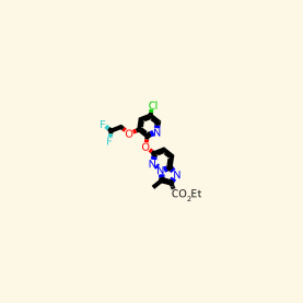 CCOC(=O)c1nc2ccc(Oc3ncc(Cl)cc3OCC(F)F)nn2c1C